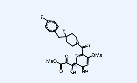 COC(=O)C(=O)/C(S)=C1\N=C(C(=O)N2CCC(F)(Cc3ccc(F)cc3)CC2)C(OC)=CC1=N